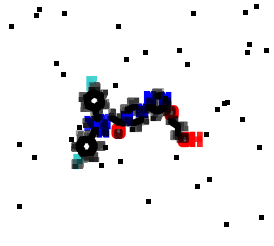 O=C(Cn1nc(-c2ccc(F)cc2)nc1-c1ccc(F)cc1)N1CCN(c2cc(OCCCO)ncn2)CC1